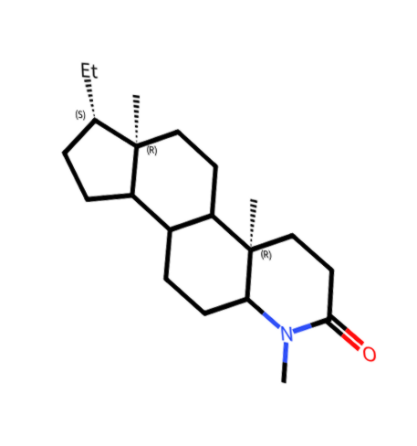 CC[C@H]1CCC2C3CCC4N(C)C(=O)CC[C@]4(C)C3CC[C@@]21C